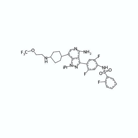 CC(C)n1nc(-c2cc(F)c(NS(=O)(=O)c3ccccc3F)cc2F)c2c(N)ncc(C3CCC(NCCOC(F)(F)F)CC3)c21